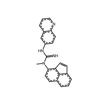 CN(C(=N)Nc1ccc2ncccc2c1)c1ccc2cccc3c2c1C=C3